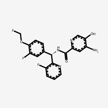 Nc1cc(C(=O)N[C@@H](c2ccc(OCF)c(F)c2)c2ncccc2F)ncc1O